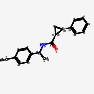 COc1ccc([C@H](C)NC(=O)[C@H]2C[C@@H]2c2ccccc2)cc1